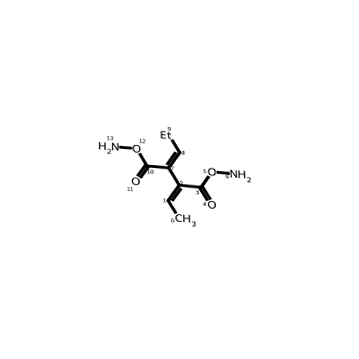 CC=C(C(=O)ON)C(=CCC)C(=O)ON